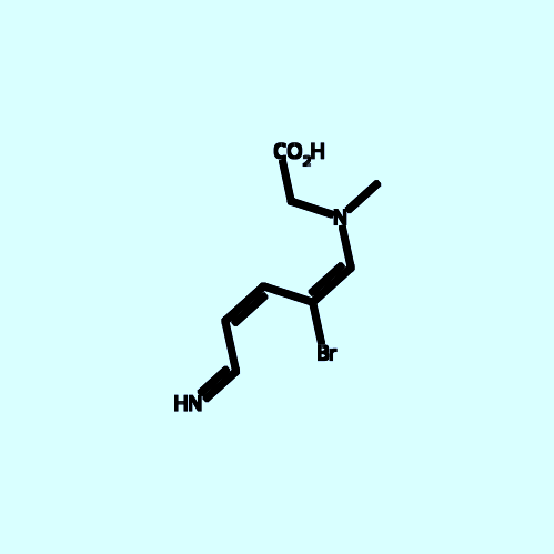 CN(/C=C(Br)\C=C/C=N)CC(=O)O